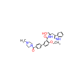 CCOc1ccc(-c2ccc(C(=O)N3CCN(C)CC3)cc2)cc1C(=O)N[C@@H](CO)Cc1c[nH]c2ccccc12